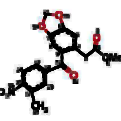 COC(=O)Cc1cc2c(cc1C(=O)c1ccc([N+](=O)[O-])c(C)c1)OCO2